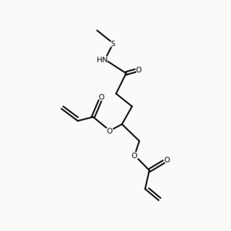 C=CC(=O)OCC(CCC(=O)NSC)OC(=O)C=C